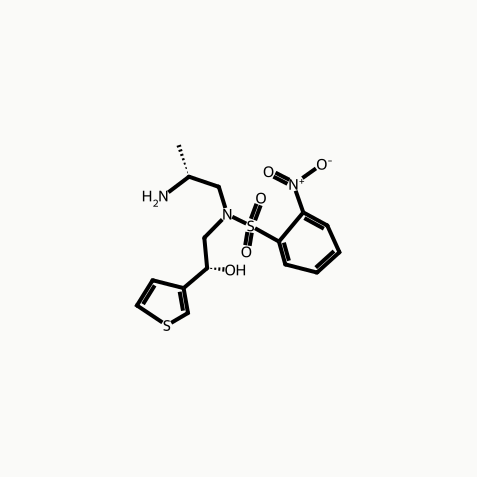 C[C@@H](N)CN(C[C@H](O)c1ccsc1)S(=O)(=O)c1ccccc1[N+](=O)[O-]